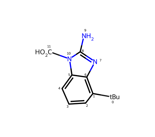 CC(C)(C)c1cccc2c1nc(N)n2C(=O)O